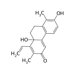 C=CC1=C(C)C(=O)C=C2c3ccc(O)c(C)c3CCC21O